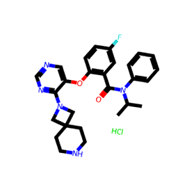 CC(C)N(C(=O)c1cc(F)ccc1Oc1cncnc1N1CC2(CCNCC2)C1)c1ccccc1.Cl